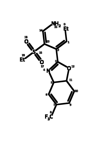 CC/C=C(C1=NC2C=C(C(F)(F)F)C=CC2O1)\C(=C/N)S(=O)(=O)CC